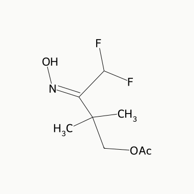 CC(=O)OCC(C)(C)C(=NO)C(F)F